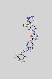 CC1(c2c[nH]nn2)CCN(c2nnc(-c3cnc(NCc4cc(F)cc(F)c4)nc3)o2)C1